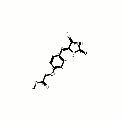 COC(=O)COc1ccc(/C=C2\SC(=O)NC2=O)cc1